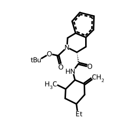 C=C1CC(CC)CC(C)C1NC(=O)[C@H]1Cc2ccccc2CN1C(=O)OC(C)(C)C